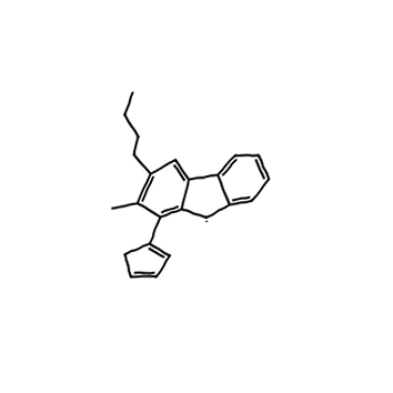 CCCCc1cc2c(c(C3=CC=CC3)c1C)[CH]c1ccccc1-2